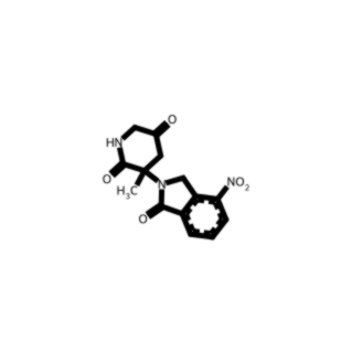 CC1(N2Cc3c(cccc3[N+](=O)[O-])C2=O)CC(=O)CNC1=O